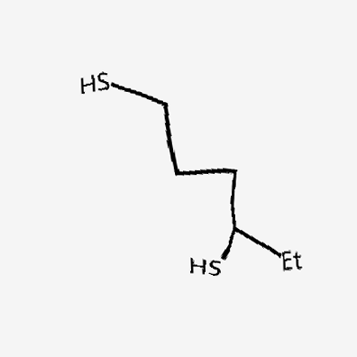 [CH2]CC(S)CCCS